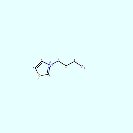 ICCC[n+]1ccsc1